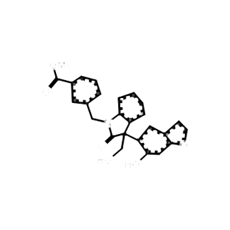 COC(=O)c1cccc(CN2C(=O)C(CO)(c3cc4ccoc4cc3O)c3ccccc32)c1